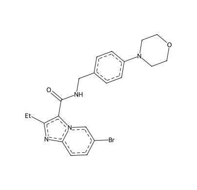 CCc1nc2ccc(Br)cn2c1C(=O)NCc1ccc(N2CCOCC2)cc1